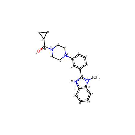 Cn1c(-c2cccc(N3CCN(C(=O)C4CC4)CC3)c2)nc2ccccc21